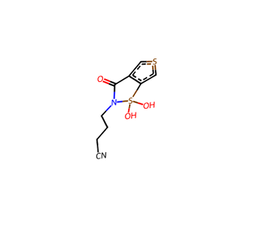 N#CCCCN1C(=O)c2cscc2S1(O)O